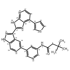 CC(C)(C)CC(=O)Nc1cncc(-c2cc3c(-c4nc5c(-c6ccsc6)ccnc5[nH]4)n[nH]c3cn2)c1